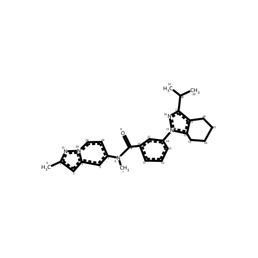 Cc1cc2cc(N(C)C(=O)c3cccc(-n4nc(C(C)C)c5c4CCCC5)c3)ccn2n1